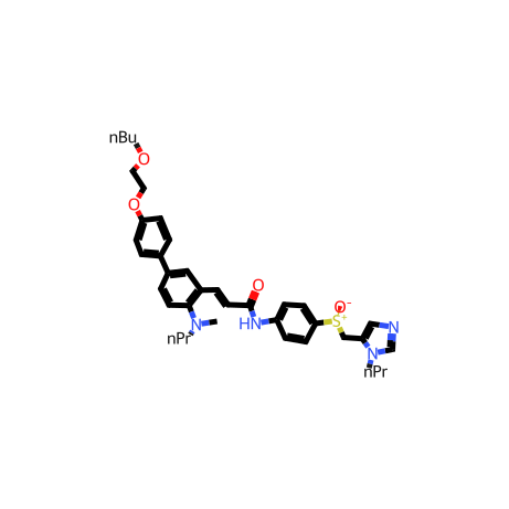 CCCCOCCOc1ccc(-c2ccc(N(C)CCC)c(/C=C/C(=O)Nc3ccc([S@@+]([O-])Cc4cncn4CCC)cc3)c2)cc1